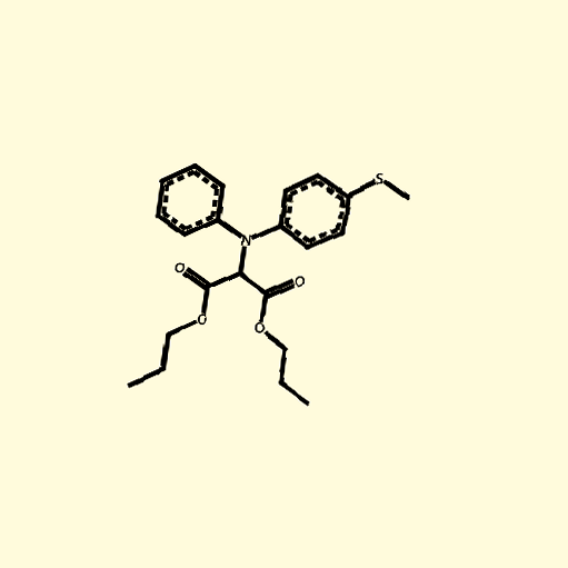 CCCOC(=O)C(C(=O)OCCC)N(c1ccccc1)c1ccc(SC)cc1